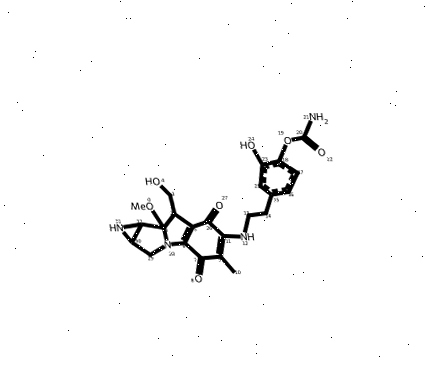 COC12C(CO)C3=C(C(=O)C(C)=C(NCCc4ccc(OC(N)=O)c(O)c4)C3=O)N1CC1NC12